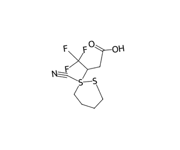 N#CS1(C(CC(=O)O)C(F)(F)F)CCCCS1